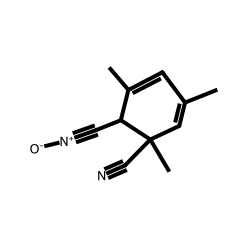 CC1=CC(C)(C#N)C(C#[N+][O-])C(C)=C1